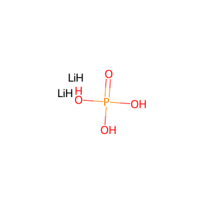 O=P(O)(O)O.[LiH].[LiH]